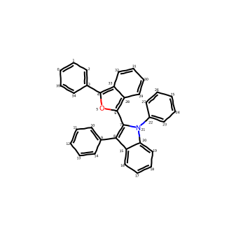 c1ccc(-c2oc(-c3c(-c4ccccc4)c4ccccc4n3-c3ccccc3)c3ccccc23)cc1